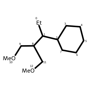 CCC(C1CCCCC1)C(COC)COC